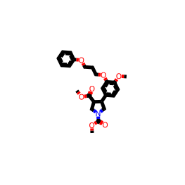 COC(=O)C1CN(C(=O)OC)CC1c1ccc(OC)c(OCCCOc2ccccc2)c1